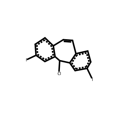 ClC1c2cc(I)ccc2C=Cc2ccc(I)cc21